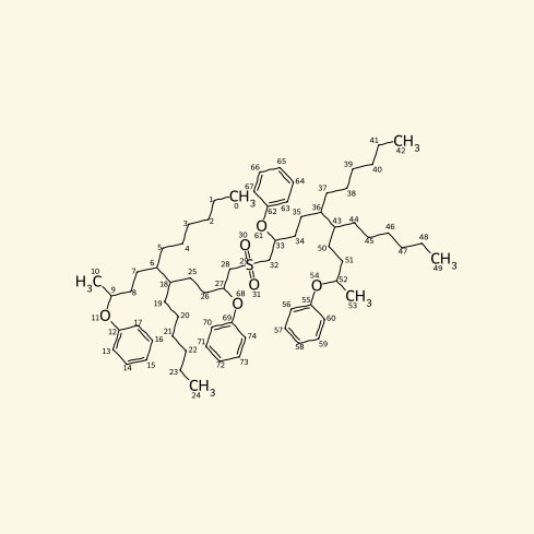 CCCCCCC(CCC(C)Oc1ccccc1)C(CCCCCC)CCC(CS(=O)(=O)CC(CCC(CCCCCC)C(CCCCCC)CCC(C)Oc1ccccc1)Oc1ccccc1)Oc1ccccc1